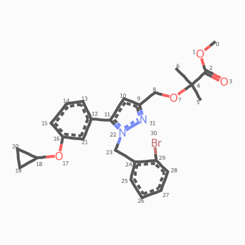 COC(=O)C(C)(C)OCc1cc(-c2cccc(OC3CC3)c2)n(Cc2ccccc2Br)n1